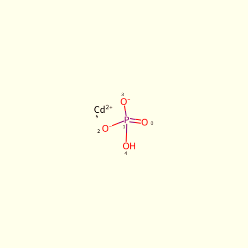 O=P([O-])([O-])O.[Cd+2]